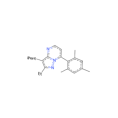 CCCC(C)c1c(CC)nn2c(-c3c(C)cc(C)cc3C)ccnc12